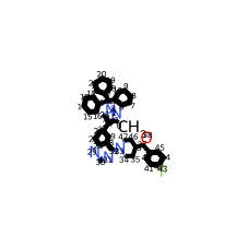 Cc1nn(C(c2ccccc2)(c2ccccc2)c2ccccc2)cc1-c1ccc2ncnc(N3CCC(C(=O)c4ccc(F)cc4)CC3)c2c1